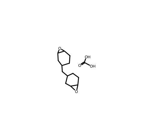 C1CC2OC2CC1CC1CCC2OC2C1.O=C(O)O